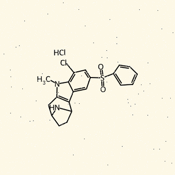 Cl.Cn1c2c(c3cc(S(=O)(=O)c4ccccc4)cc(Cl)c31)C1CCC(C2)N1